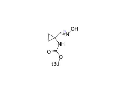 CC(C)(C)OC(=O)NC1(/C=N/O)CC1